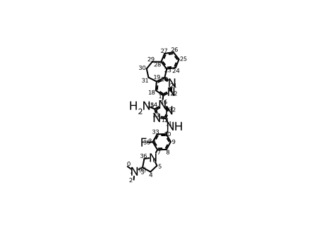 CN(C)[C@@H]1CCN(c2ccc(Nc3nc(N)n(-c4cc5c(nn4)-c4ccccc4CCC5)n3)cc2F)C1